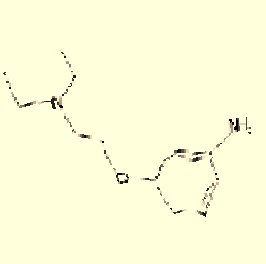 CCN(CC)CCOC1C=C(N)C=CC1